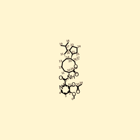 COc1ccnc(C(=O)N[C@H]2CCC[C@H](CCC(C)C)[C@@H](C3CCCC3)[C@H](C)OC2=O)c1OC(C)=O